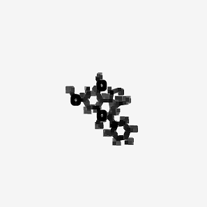 CCC1(c2c(OC)cc(OC)cc2OC)C(C)=C1Cc1ccccc1